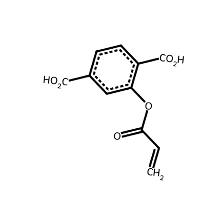 C=CC(=O)Oc1cc(C(=O)O)ccc1C(=O)O